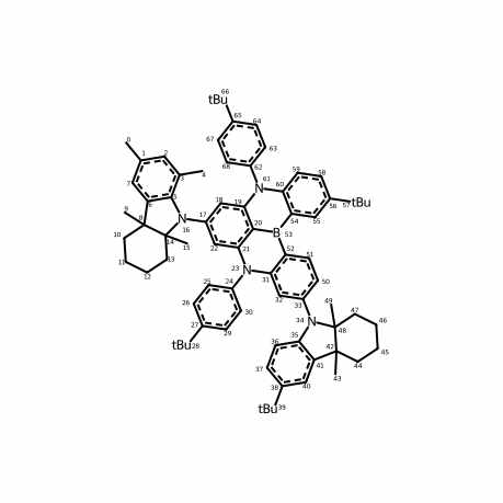 Cc1cc(C)c2c(c1)C1(C)CCCCC1(C)N2c1cc2c3c(c1)N(c1ccc(C(C)(C)C)cc1)c1cc(N4c5ccc(C(C)(C)C)cc5C5(C)CCCCC45C)ccc1B3c1cc(C(C)(C)C)ccc1N2c1ccc(C(C)(C)C)cc1